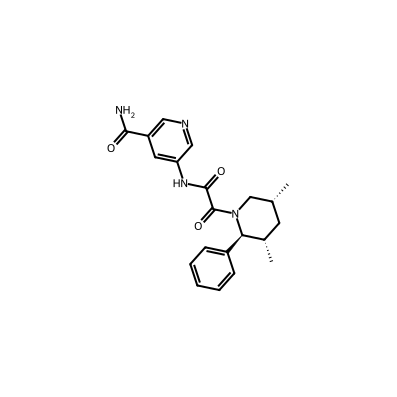 C[C@@H]1C[C@H](C)[C@@H](c2ccccc2)N(C(=O)C(=O)Nc2cncc(C(N)=O)c2)C1